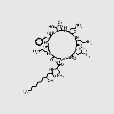 CCCCCCC[C@@H](O)CC(=O)N[C@H](CN)C(=O)N[C@H]1CCNC(=O)[C@H](CC(C)C)NC(=O)[C@H](CCN)NC(=O)[C@H](CCN)NC(=O)[C@H]([C@@H](C)O)NC(=O)[C@@H](Cc2ccccc2)NC(=O)[C@H](CCN)NC1=O